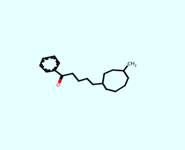 CC1CCCCC(CCCCC(=O)c2ccccc2)CC1